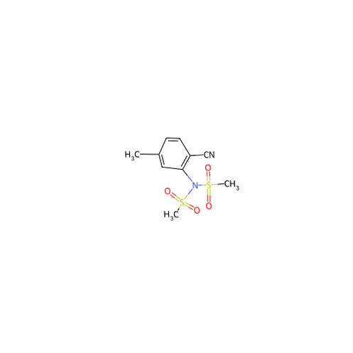 Cc1ccc(C#N)c(N(S(C)(=O)=O)S(C)(=O)=O)c1